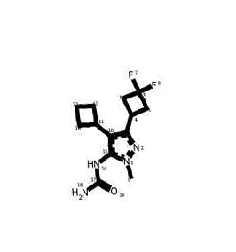 Cn1nc(C2CC(F)(F)C2)c(C2CCC2)c1NC(N)=O